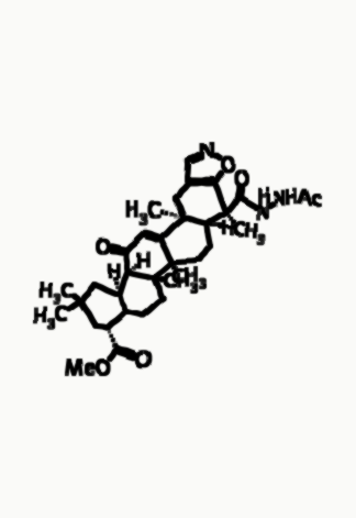 COC(=O)[C@@H]1CC(C)(C)C[C@@H]2C1CC[C@]1(C)[C@@H]2C(=O)C=C2[C@@]3(C)Cc4cnoc4[C@@](C)(C(=O)NNC(C)=O)[C@@H]3CC[C@]21C